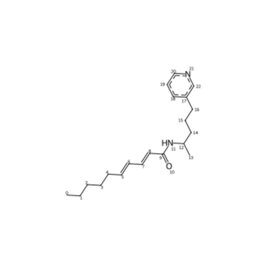 CCCCCC=CC=CC(=O)NC(C)CCCc1cccnc1